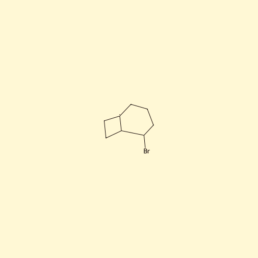 BrC1CCC[C]2CCC21